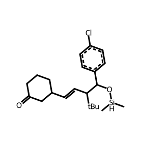 C[SiH](C)OC(c1ccc(Cl)cc1)C(C=CC1CCCC(=O)C1)C(C)(C)C